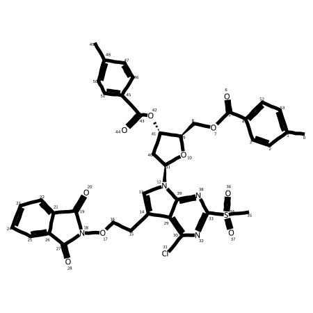 Cc1ccc(C(=O)OC[C@H]2O[C@@H](n3cc(CCON4C(=O)c5ccccc5C4=O)c4c(Cl)nc(S(C)(=O)=O)nc43)C[C@@H]2OC(=O)c2ccc(C)cc2)cc1